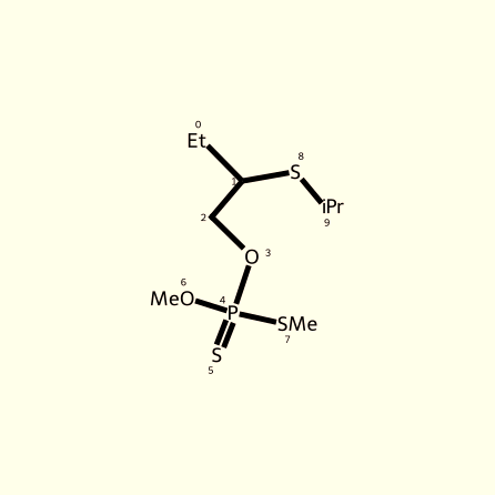 CCC(COP(=S)(OC)SC)SC(C)C